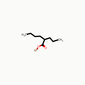 CCCCC(CCC)C(=O)OBr